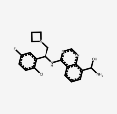 NC(O)c1cccc2c(N[C@H](CN3CCC3)c3cc(F)ccc3Cl)ncnc12